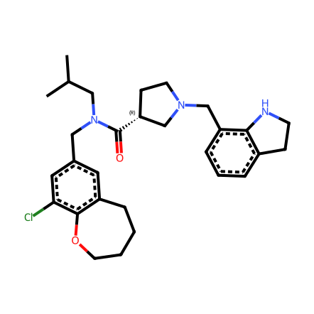 CC(C)CN(Cc1cc(Cl)c2c(c1)CCCCO2)C(=O)[C@@H]1CCN(Cc2cccc3c2NCC3)C1